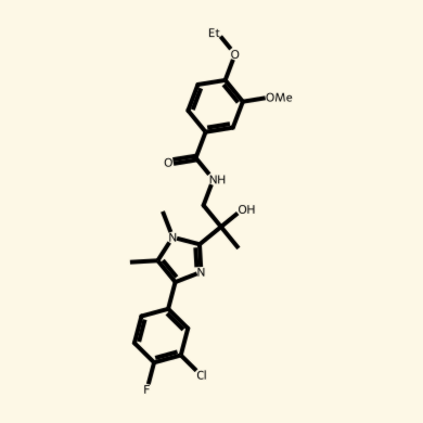 CCOc1ccc(C(=O)NCC(C)(O)c2nc(-c3ccc(F)c(Cl)c3)c(C)n2C)cc1OC